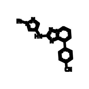 CCn1cc(Nc2nc3c(-c4ccc(C#N)cc4)cccn3n2)cn1